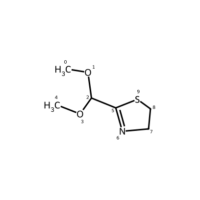 COC(OC)C1=NCCS1